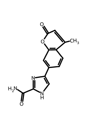 Cc1cc(=O)oc2cc(-c3c[nH]c(C(N)=O)n3)ccc12